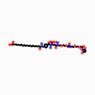 O=C(O)CCCCCCCCCCCCCCCCCCC(=O)NCC1CCC(C(=O)N[C@@H](CCC(=O)NCCOCCOCC(=O)NCCOCCOCC(=O)ON2C(=O)CCC2=O)C(=O)O)CC1